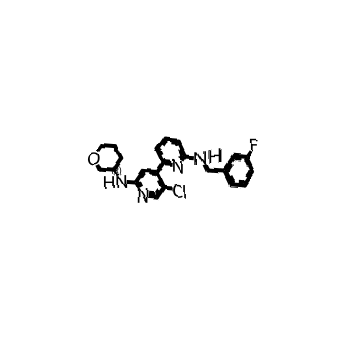 Fc1cccc(CNc2cccc(-c3cc(N[C@@H]4CCCOC4)ncc3Cl)n2)c1